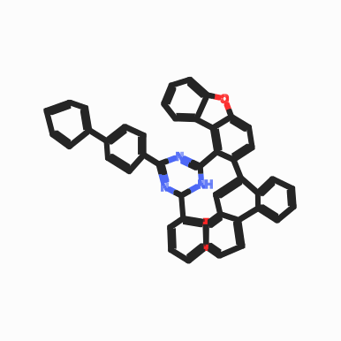 c1ccc(-c2ccc(C3=NC(c4ccccc4)NC(c4c(-c5cc6ccccc6c6ccccc56)ccc5oc6ccccc6c45)=N3)cc2)cc1